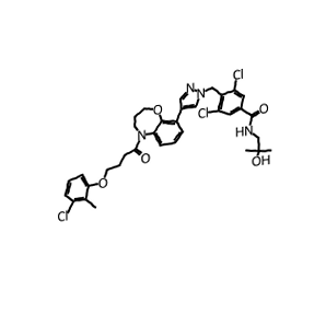 Cc1c(Cl)cccc1OCCCC(=O)N1CCCOc2c(-c3cnn(Cc4c(Cl)cc(C(=O)NCC(C)(C)O)cc4Cl)c3)cccc21